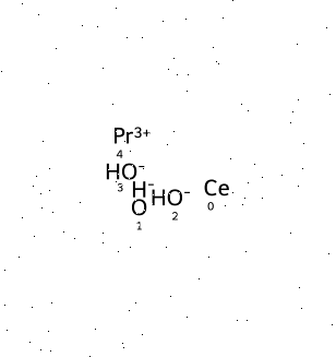 [Ce].[OH-].[OH-].[OH-].[Pr+3]